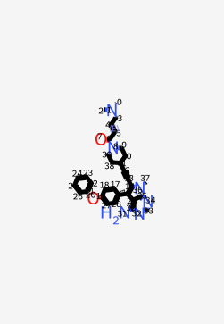 CN(C)C/C=C/C(=O)N1CCC(C#Cc2c(-c3ccc(Oc4ccccc4)cc3)c3c(N)ncnc3n2C)CC1